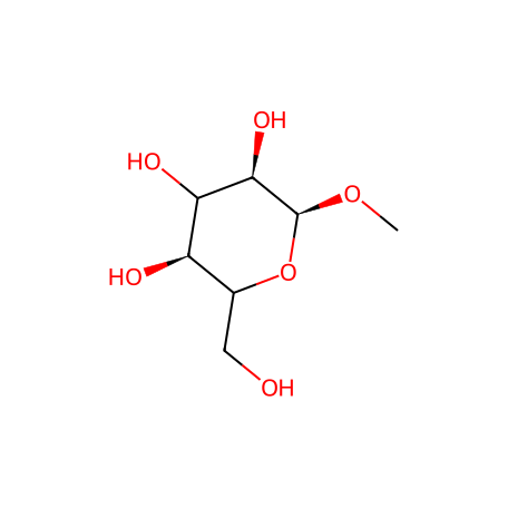 CO[C@H]1OC(CO)[C@@H](O)C(O)[C@H]1O